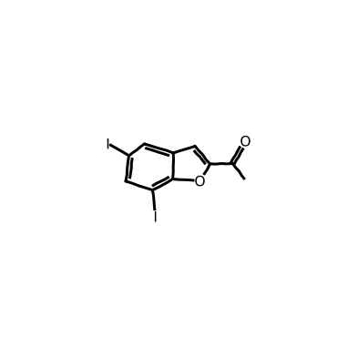 CC(=O)c1cc2cc(I)cc(I)c2o1